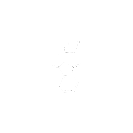 CC(O)(CN)N1C(=O)c2ccccc2C1=O